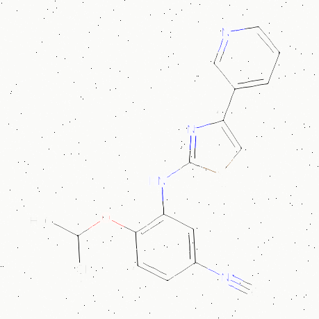 [C-]#[N+]c1ccc(OC(C)C)c(Nc2nc(-c3cccnc3)cs2)c1